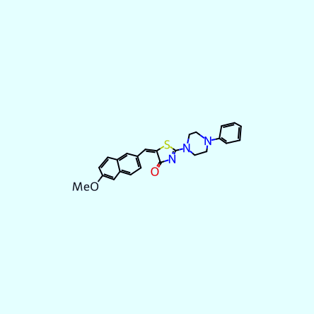 COc1ccc2cc(C=C3SC(N4CCN(c5ccccc5)CC4)=NC3=O)ccc2c1